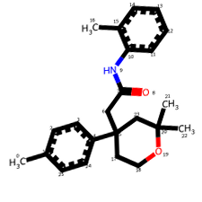 Cc1ccc(C2(CC(=O)Nc3ccccc3C)CCOC(C)(C)C2)cc1